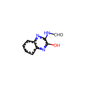 O=CNc1nc2ccccc2nc1O